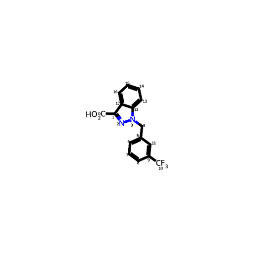 O=C(O)c1nn(Cc2cccc(C(F)(F)F)c2)c2ccccc12